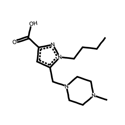 CCCCn1nc(C(=O)O)cc1CN1CCN(C)CC1